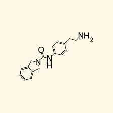 NCCc1ccc(NC(=O)N2Cc3ccccc3C2)cc1